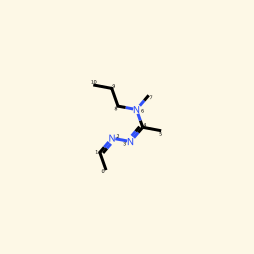 C/C=N\N=C(\C)N(C)CCC